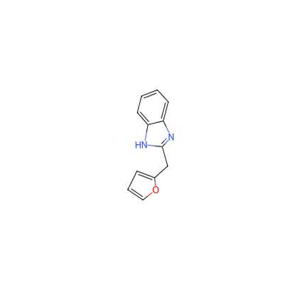 c1coc(Cc2nc3ccccc3[nH]2)c1